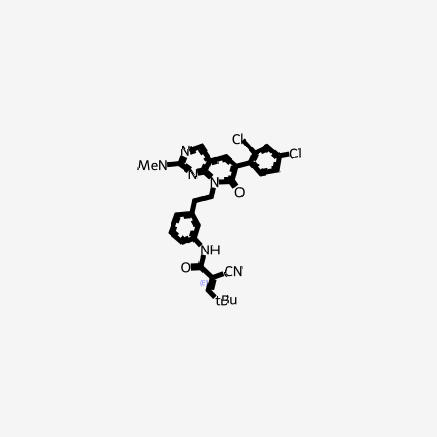 CNc1ncc2cc(-c3ccc(Cl)cc3Cl)c(=O)n(CCc3cccc(NC(=O)/C(C#N)=C/C(C)(C)C)c3)c2n1